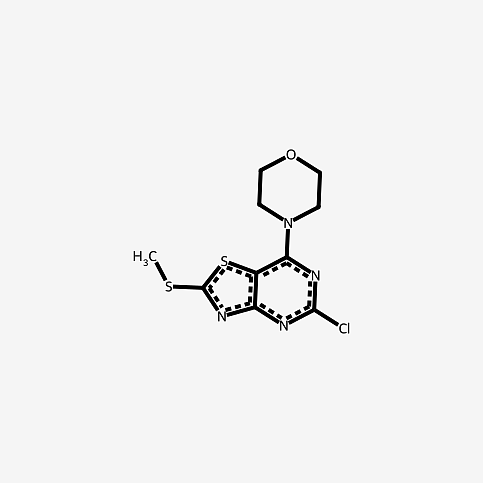 CSc1nc2nc(Cl)nc(N3CCOCC3)c2s1